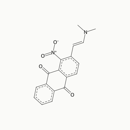 CN(C)C=Cc1ccc2c(c1[N+](=O)[O-])C(=O)c1ccccc1C2=O